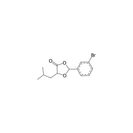 CC(C)CC1OC(c2cccc(Br)c2)OC1=O